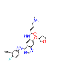 C#Cc1cc(Nc2ncnc3cc(OC4CCOC4)c(NC(=O)C=CCN(C)C)cc23)ccc1F